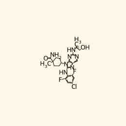 C[C@@H](CO)Nc1ncc2nc(Nc3c(F)cc(Cl)cc3F)n(C3CCC(C)(C(N)=O)CC3)c2n1